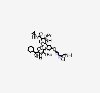 CCC[C@@H](NC(=O)C1C[C@@H](O/C=C/C=C(/Cl)C=N)CN1C(=O)[C@H](NC(=O)[C@@H](N)C1CCCCC1)C(C)(C)C)C(=O)C(=O)NC1CC1